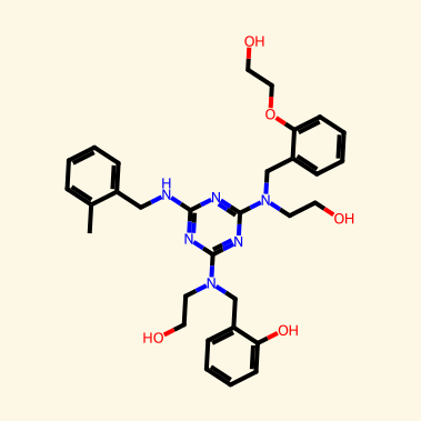 Cc1ccccc1CNc1nc(N(CCO)Cc2ccccc2O)nc(N(CCO)Cc2ccccc2OCCO)n1